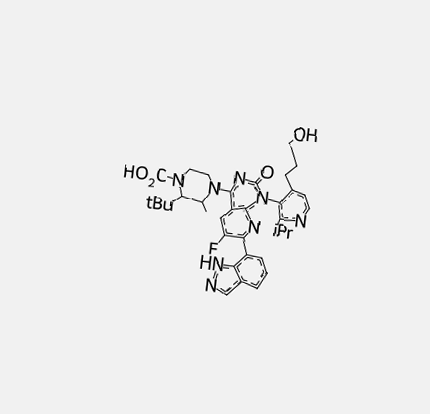 CC(C)c1nccc(CCCO)c1-n1c(=O)nc(N2CCN(C(=O)O)C(C(C)(C)C)C2C)c2cc(F)c(-c3cccc4cn[nH]c34)nc21